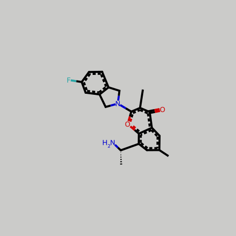 Cc1cc([C@H](C)N)c2oc(N3Cc4ccc(F)cc4C3)c(C)c(=O)c2c1